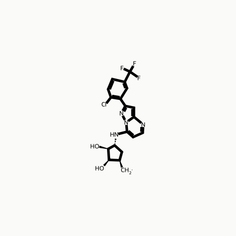 [CH2][C@@H]1C[C@@H](Nc2ccnc3cc(-c4cc(C(F)(F)F)ccc4Cl)nn23)[C@H](O)[C@@H]1O